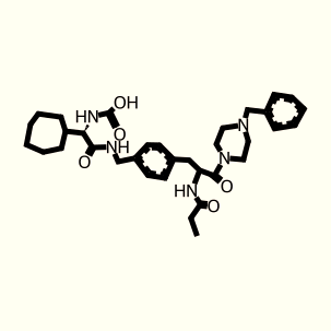 CCC(=O)NC(Cc1ccc(CNC(=O)[C@@H](NC(=O)O)C2CCCCCC2)cc1)C(=O)N1CCN(Cc2ccccc2)CC1